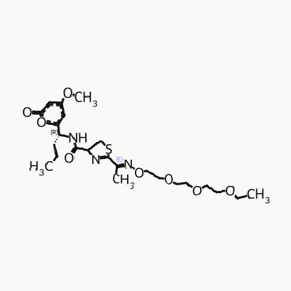 CCC[C@@H](NC(=O)C1CSC(/C(C)=N/OCCOCCOCCOCC)=N1)c1cc(OC)cc(=O)o1